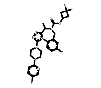 CC1c2nnc(N3CCN(c4ccc(F)cn4)CC3)n2-c2ccc(Cl)cc2CN1C(=O)OC1CC(F)(F)C1